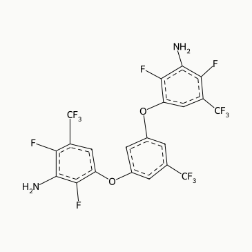 Nc1c(F)c(Oc2cc(Oc3cc(C(F)(F)F)c(F)c(N)c3F)cc(C(F)(F)F)c2)cc(C(F)(F)F)c1F